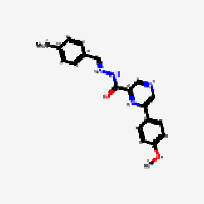 CCOc1ccc(-c2cncc(C(=O)N/N=C/c3ccc(OC)cc3)n2)cc1